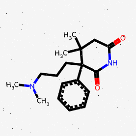 CN(C)CCCC1(c2ccccc2)C(=O)NC(=O)CC1(C)C